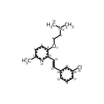 Cc1ccc(OCCN(C)C)c(C=Cc2cccc(Cl)c2)n1